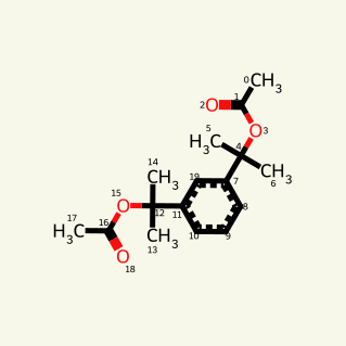 CC(=O)OC(C)(C)c1cccc(C(C)(C)OC(C)=O)c1